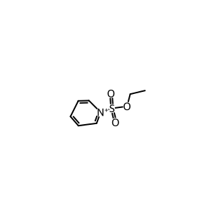 CCOS(=O)(=O)[n+]1ccccc1